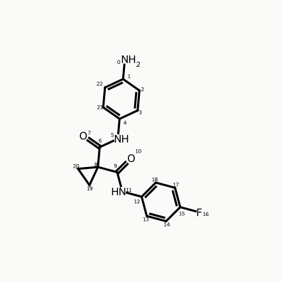 Nc1ccc(NC(=O)C2(C(=O)Nc3ccc(F)cc3)CC2)cc1